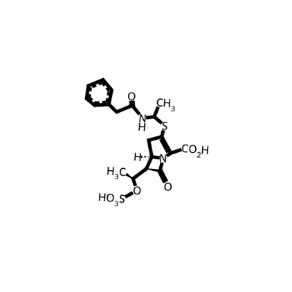 CC(NC(=O)Cc1ccccc1)SC1=C(C(=O)O)N2C(=O)[C@@H]([C@H](C)OS(=O)(=O)O)[C@H]2C1